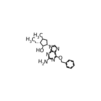 CC[C@H]1[C@H](O)[C@@H](n2cnc3c(OCc4ccccc4)nc(N)nc32)C[C@@H]1C